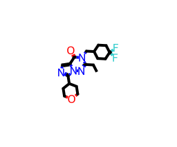 CCc1nn2c(C3CCOCC3)ncc2c(=O)n1CC1CCC(F)(F)CC1